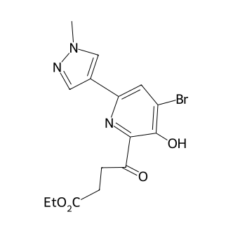 CCOC(=O)CCC(=O)c1nc(-c2cnn(C)c2)cc(Br)c1O